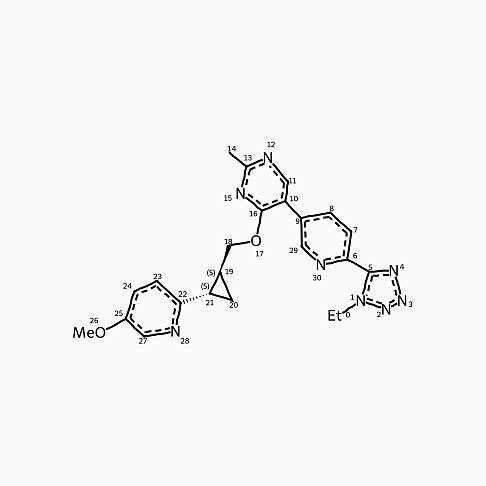 CCn1nnnc1-c1ccc(-c2cnc(C)nc2OC[C@H]2C[C@@H]2c2ccc(OC)cn2)cn1